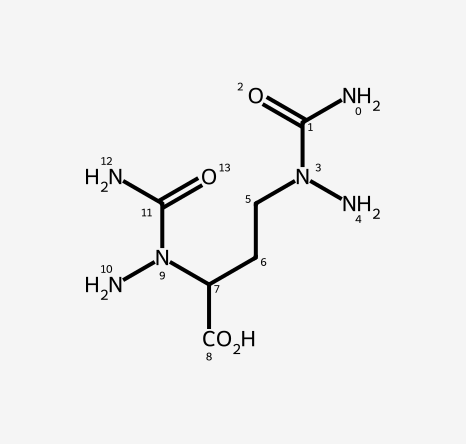 NC(=O)N(N)CCC(C(=O)O)N(N)C(N)=O